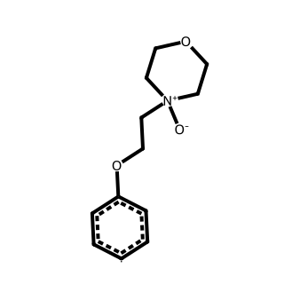 [O-][N+]1(CCOc2cc[c]cc2)CCOCC1